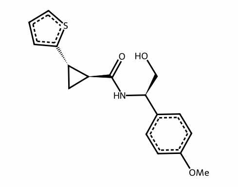 COc1ccc([C@H](CO)NC(=O)[C@H]2C[C@@H]2c2cccs2)cc1